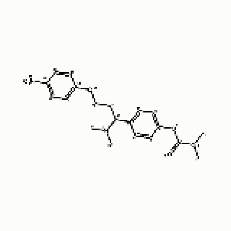 CN(C)C(=O)Oc1ccc(C(CCOc2ccc([N+](=O)[O-])cc2)N(C)C)cc1